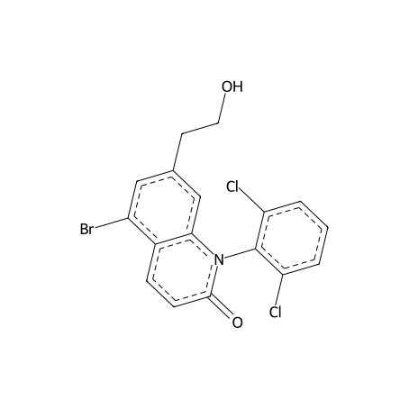 O=c1ccc2c(Br)cc(CCO)cc2n1-c1c(Cl)cccc1Cl